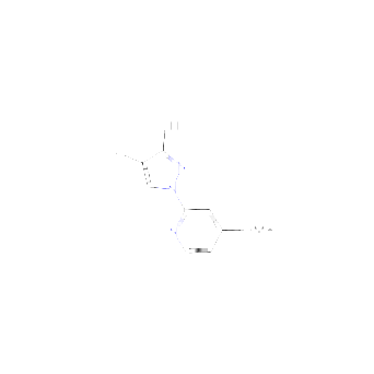 COc1ccnc(-n2cc(C)c(C)n2)c1